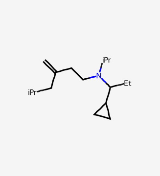 C=C(CCN(C(C)C)C(CC)C1CC1)CC(C)C